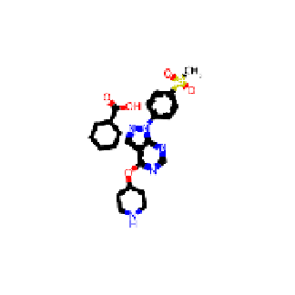 CS(=O)(=O)c1ccc(-n2ncc3c(OC4CCNCC4)ncnc32)cc1.O=C(O)C1CCCCC1